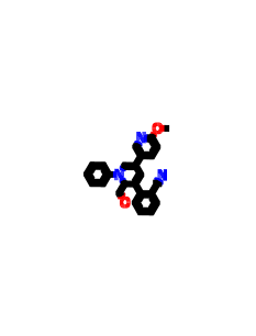 COc1ccc(C2=CN(c3ccccc3)C(C=O)C(c3ccccc3C#N)=C2)cn1